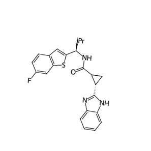 CC(C)[C@@H](NC(=O)C1C[C@@H]1c1nc2ccccc2[nH]1)c1cc2ccc(F)cc2s1